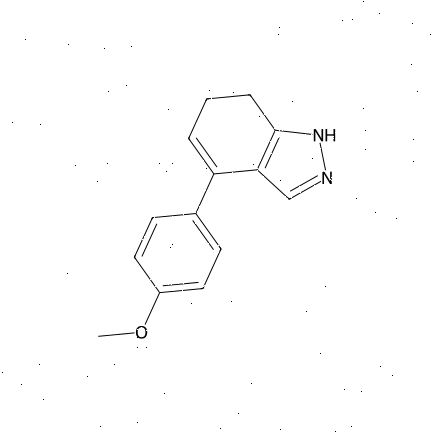 COc1ccc(C2=CCCc3[nH]ncc32)cc1